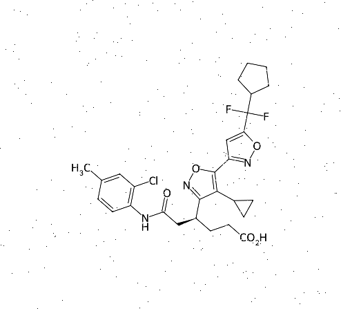 Cc1ccc(NC(=O)C[C@H](CCC(=O)O)c2noc(-c3cc(C(F)(F)C4CCCC4)on3)c2C2CC2)c(Cl)c1